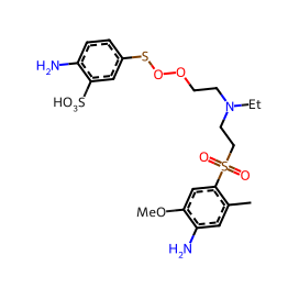 CCN(CCOOSc1ccc(N)c(S(=O)(=O)O)c1)CCS(=O)(=O)c1cc(OC)c(N)cc1C